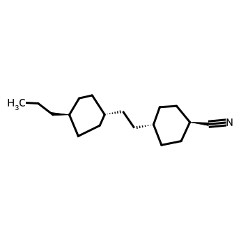 CCC[C@H]1CC[C@H](CC[C@H]2CC[C@H](C#N)CC2)CC1